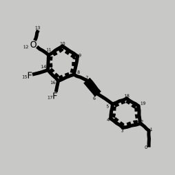 CCc1ccc(C#Cc2ccc(OC)c(F)c2F)cc1